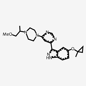 COCC(C)N1CCN(c2cc(-c3n[nH]c4ccc(OC5(C)CC5)cc34)ncn2)CC1